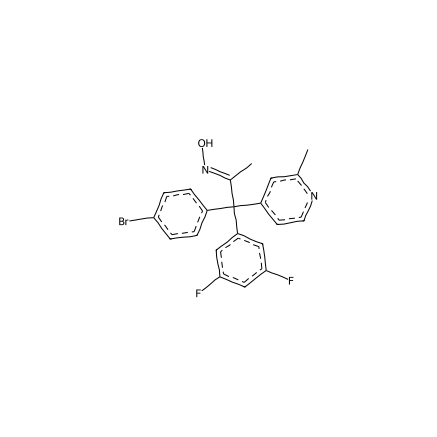 CC(=NO)C(c1ccc(Br)cc1)(c1cc(F)cc(F)c1)c1ccnc(C)c1